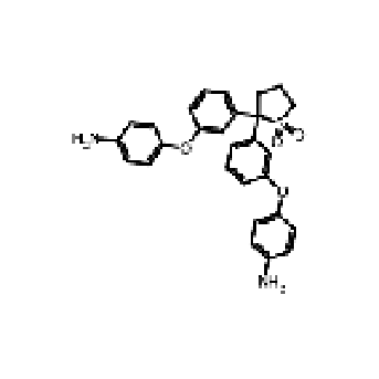 Nc1ccc(Oc2cccc(C3(c4cccc(Oc5ccc(N)cc5)c4)CCCS3(=O)=O)c2)cc1